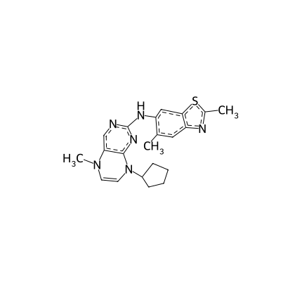 Cc1nc2cc(C)c(Nc3ncc4c(n3)N(C3CCCC3)C=CN4C)cc2s1